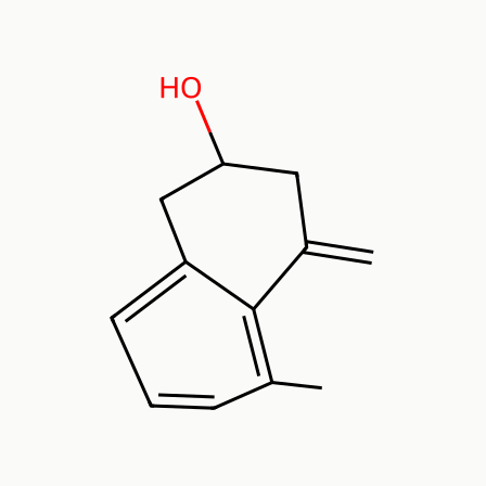 C=C1CC(O)Cc2cccc(C)c21